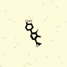 O=CC1CCC(c2ccc(C3CO3)c(F)c2F)CC1